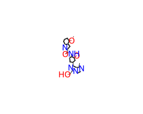 COc1cc(-c2nc(CO)n3ccnc(C)c23)ccc1NC(=O)c1cc2c(OC)cccc2n1C